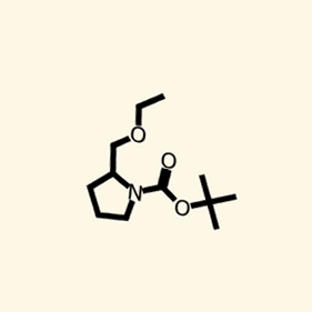 CCOCC1CCCN1C(=O)OC(C)(C)C